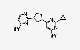 CC(C)c1ccnc(C2CCC(c3cc(C(C)C)nc(C4CC4)n3)C2)n1